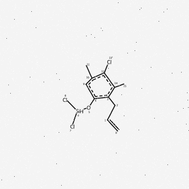 C=CCc1c(O[SiH](Cl)Cl)cc(C)c(Cl)c1C